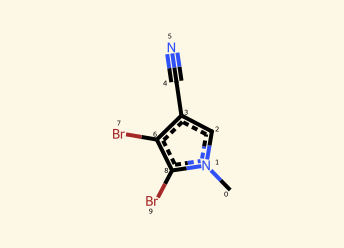 Cn1cc(C#N)c(Br)c1Br